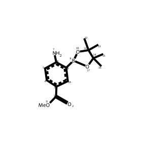 COC(=O)c1ccc(N)c(B2OC(C)(C)C(C)(C)O2)c1